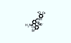 COc1ccc(NCc2ccc(C(N)=O)c(-c3cc(Br)ccc3[N+](=O)[O-])c2)cc1OC